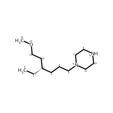 CC[C@@H](CCCN1CCNCC1)CCOC